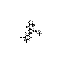 CC=C(Nc1nc(NCC(F)(F)F)nc(C2=C(F)C(O)C(F)(F)CC2)n1)C(F)(F)F